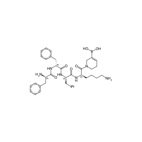 CC(C)C[C@@H](NC(=O)[C@@H](Cc1ccccc1)NC(=O)[C@H](N)Cc1ccccc1)C(=O)N[C@H](CCCCN)C(=O)N1CCC=C(B(O)O)C1